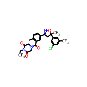 Cc1ccc(C2=NOC(c3cc(Cl)cc(C(F)(F)F)c3)(C(F)(F)F)C2)cc1C(=O)N1CC(=O)N(CC(F)(F)F)C(=O)C1